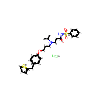 CC(C)N(CCCOc1ccc(Cc2cccs2)cc1)CCC(=O)NS(=O)(=O)c1ccccc1.Cl